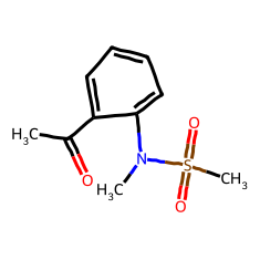 CC(=O)c1ccccc1N(C)S(C)(=O)=O